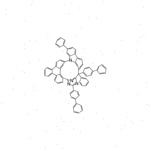 c1ccc(-c2ccc(-c3nc4nc(n3)C(c3ccccc3)(c3ccc(-c5ccccc5)cc3)c3ccc5c6ccc(-c7ccccc7)cc6n(c5c3)-c3ccc5c6ccccc6c6cccc-4c6c5c3)cc2)cc1